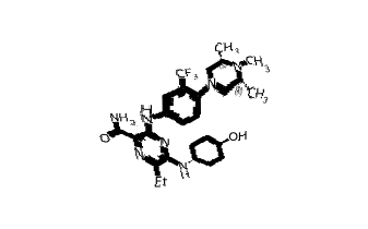 CCc1nc(C(N)=O)c(Nc2ccc(N3C[C@@H](C)N(C)[C@@H](C)C3)c(C(F)(F)F)c2)nc1N[C@H]1CC[C@H](O)CC1